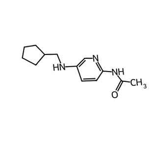 CC(=O)Nc1ccc(NCC2CCCC2)cn1